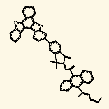 C=C1/C(=C\C(=C)c2c3ccccc3c(/C(C)=C/C=C\C)c3ccccc23)C(C)(C)c2cc(-c3ccc4c(c3)sc3c5ccccc5c5oc6ccccc6c5c43)ccc21